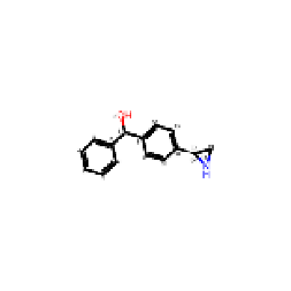 OC(c1ccccc1)c1ccc([C@H]2CN2)cc1